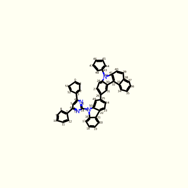 c1ccc(-c2cc(-c3ccccc3)nc(-n3c4ccccc4c4ccc(-c5ccc6c(c5)c5c7ccccc7ccc5n6-c5ccccc5)cc43)n2)cc1